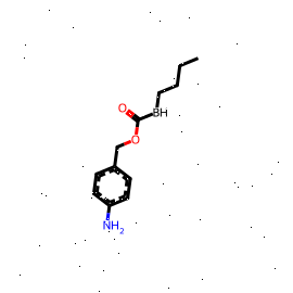 CCCCBC(=O)OCc1ccc(N)cc1